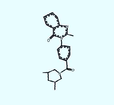 Cc1nc2ccccc2c(=O)n1-c1ccc(C(=O)N2CC(C)CC(C)C2)cc1